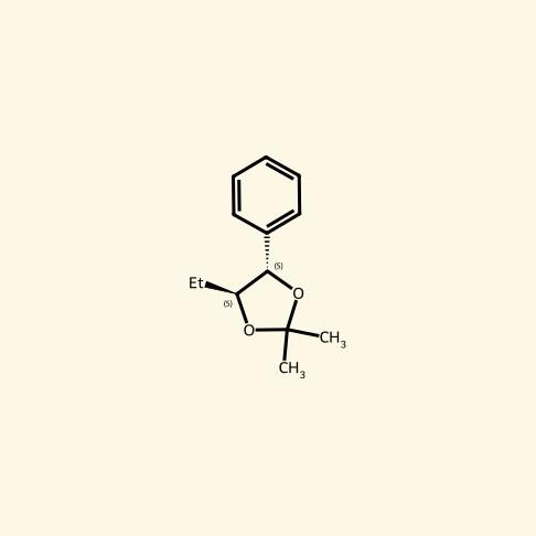 CC[C@@H]1OC(C)(C)O[C@H]1c1ccccc1